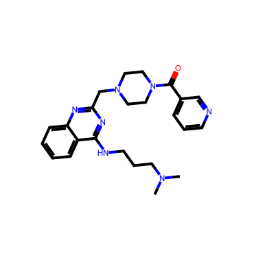 CN(C)CCCNc1nc(CN2CCN(C(=O)c3cccnc3)CC2)nc2ccccc12